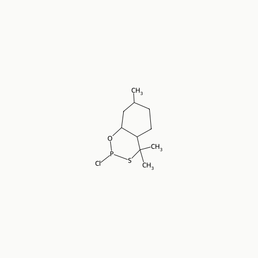 CC1CCC2C(C1)OP(Cl)SC2(C)C